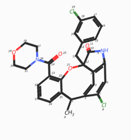 CC1c2cc3c(cc2Cl)NC(=O)C3(Cc2cccc(Cl)c2)Oc2c(C(=O)N3CCOCC3)cccc21